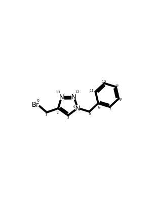 BrCc1cn(Cc2ccccc2)nn1